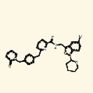 O=C(NCc1nn(C2CCCCO2)c2ccc(Cl)cc12)c1cccc(Cc2ccc(Cn3ccccc3=O)cc2)n1